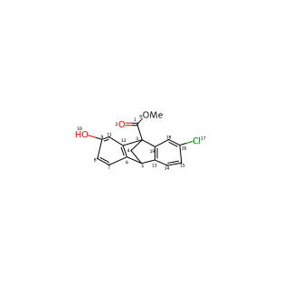 COC(=O)C12CC(c3ccc(O)cc31)c1ccc(Cl)cc12